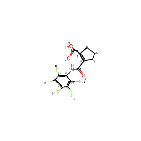 O=C(O)C1=C(C(=O)Nc2c(F)c(F)c(F)c(F)c2F)CCC1